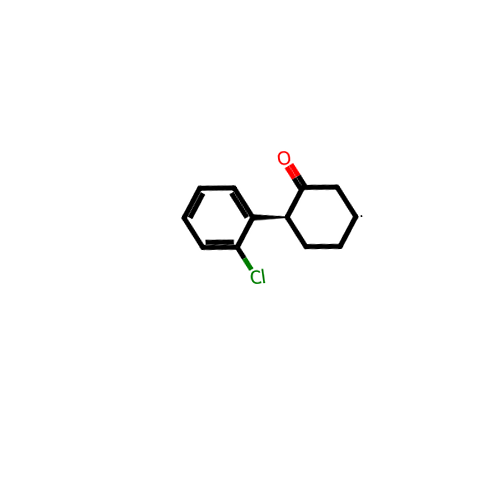 O=C1C[CH]CC[C@H]1c1ccccc1Cl